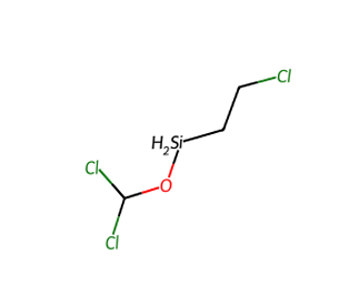 ClCC[SiH2]OC(Cl)Cl